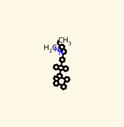 C=Nc1c(/C=C\C)ccc2ccc(-c3ccc(-c4c5ccccc5c(-c5cc6ccc7cccc8c9ccccc9c9ccccc9c(c5)c6c78)c5ccccc45)cc3)nc12